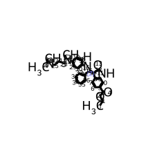 CCOC(=O)c1ccc2c(c1)NC(=O)/C2=C(\Nc1ccc(N(C)CCCN(C)C)cc1)c1ccccc1